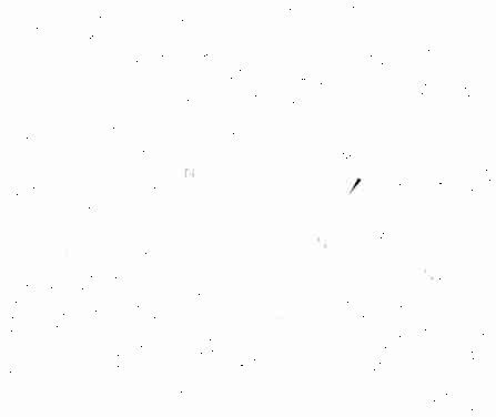 NC1C[C@H]2COc3c(c(F)cc4c(=O)c(C(=O)O)cn(C5CC5)c34)N2C1